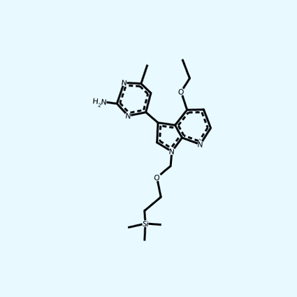 CCOc1ccnc2c1c(-c1cc(C)nc(N)n1)cn2COCC[Si](C)(C)C